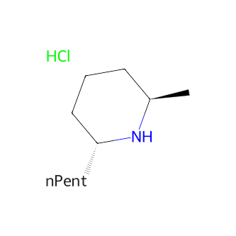 CCCCC[C@@H]1CCC[C@@H](C)N1.Cl